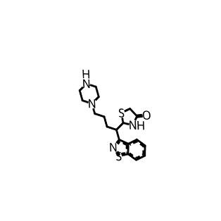 O=C1CSC(C(CCCN2CCNCC2)c2nsc3ccccc23)N1